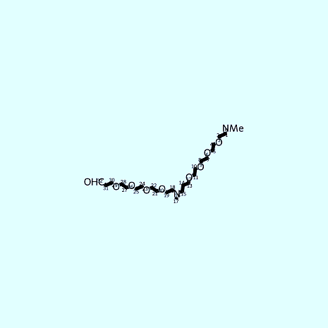 CNCCOCCOCCOCCOCCCN(C)CCOCCOCCOCCOCCC=O